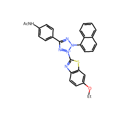 CCOc1ccc2nc(-[n+]3nc(-c4ccc(NC(C)=O)cc4)nn3-c3cccc4ccccc34)sc2c1